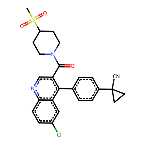 CS(=O)(=O)C1CCN(C(=O)c2cnc3ccc(Cl)cc3c2-c2ccc(C3(C#N)CC3)cc2)CC1